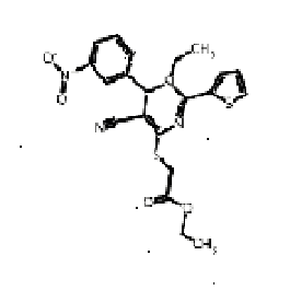 CCOC(=O)CSC1=C(C#N)C(c2cccc([N+](=O)[O-])c2)N(CC)C(c2cccs2)=N1